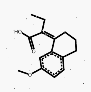 CCC(C(=O)O)=C1CCCc2ccc(OC)cc21